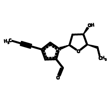 CC#Cc1cc(C=O)n([C@H]2C[C@@H](O)[C@@H](CC)O2)c1